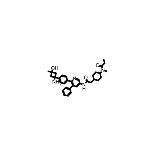 CCC(=O)N(C)C1CCC(CC(=O)Nc2cnc(-c3ccc(C4(N)CC(C)(O)C4)cc3)c(-c3ccccc3)c2)CC1